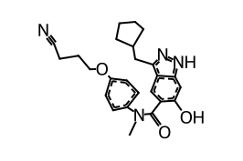 CN(C(=O)c1cc2c(CC3CCCC3)n[nH]c2cc1O)c1ccc(OCCCC#N)cc1